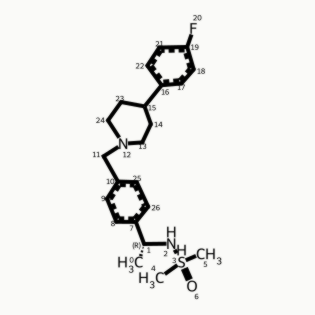 C[C@@H](N[SH](C)(C)=O)c1ccc(CN2CCC(c3ccc(F)cc3)CC2)cc1